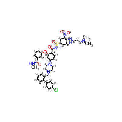 CNC(=O)c1cccc(Oc2cc(N3CCN(Cc4ccccc4-c4ccc(Cl)cc4)CC3)ccc2C(=O)N[S+]([O-])c2ccc(NCCCN(C)C)c([N+](=O)[O-])c2)c1